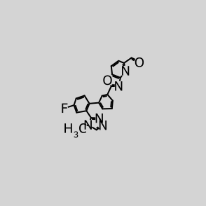 Cn1cnnc1-c1cc(F)ccc1-c1cccc(-c2nc3nc(C=O)ccc3o2)c1